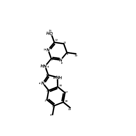 Cc1cc2nc(NC3=NC(C)CC(O)=N3)[nH]c2cc1C